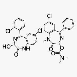 CN(C)C(=O)OC1N=C(c2ccccc2)c2cc(Cl)ccc2N(C)C1=O.O=C1Nc2ccc(Cl)cc2C(c2ccccc2Cl)=NC1O